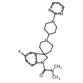 CN(C)C(=O)N1CC2(CCN(C3CCN(c4ncccn4)CC3)CC2)c2cc(F)ccc21